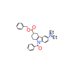 CCN(CC)c1ccc2c(c1)c1c(n2C(=O)c2ccccc2)CCC(C(=O)OCc2ccccc2)C1